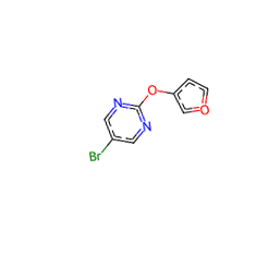 Brc1cnc(Oc2ccoc2)nc1